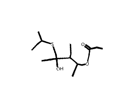 CC(=O)OC(C)C(C)C(C)(O)SC(C)C